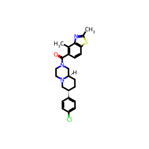 Cc1nc2c(C)c(C(=O)N3CCN4C[C@@H](c5ccc(Cl)cc5)CC[C@@H]4C3)ccc2s1